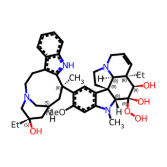 CC[C@]1(O)C[C@H]2CN(CCc3c([nH]c4ccccc34)[C@@](C)(c3cc4c(cc3OC)N(C)[C@H]3[C@@](O)(OO)[C@H](O)[C@]5(CC)C=CCN6CC[C@]43[C@@H]65)C2)C1